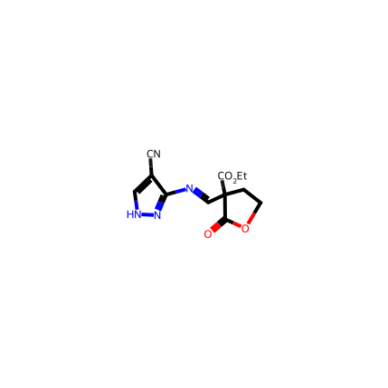 CCOC(=O)C1(C=Nc2n[nH]cc2C#N)CCOC1=O